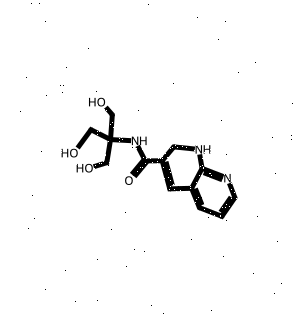 O=C(NC(CO)(CO)CO)C1=Cc2cccnc2NC1